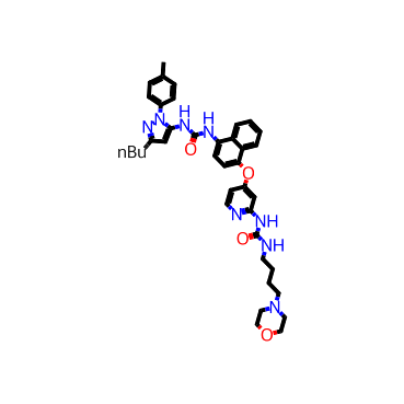 CCCCc1cc(NC(=O)Nc2ccc(Oc3ccnc(NC(=O)NCCCCN4CCOCC4)c3)c3ccccc23)n(-c2ccc(C)cc2)n1